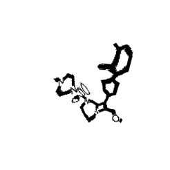 COCC1C(c2ccc(-c3cccc(C)c3C)cc2)C2CN(S(=O)(=O)N3CCN(C)CC3)CCCCN12